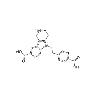 O=C(O)c1ccc2c(c1)c1c(n2CCc2ccc(C(=O)O)nc2)CCNC1